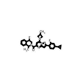 CC1CN(c2cc(C(=O)N3CC(F)c4ccccc4C3C)nc3cc(-c4ccc(C5CC5)cc4F)nn23)C1